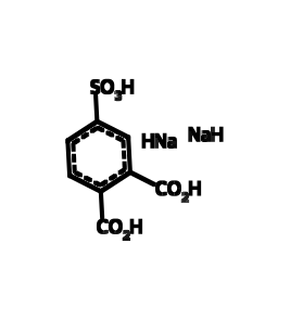 O=C(O)c1ccc(S(=O)(=O)O)cc1C(=O)O.[NaH].[NaH]